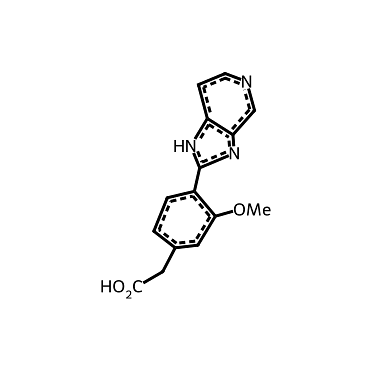 COc1cc(CC(=O)O)ccc1-c1nc2cnccc2[nH]1